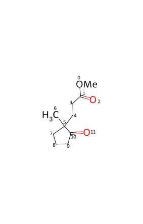 COC(=O)CCC1(C)CCCC1=O